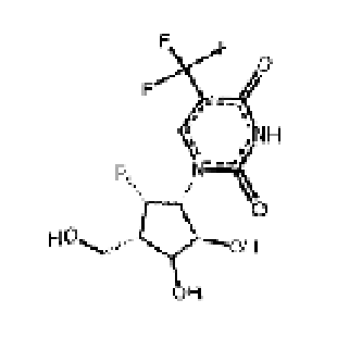 O=c1[nH]c(=O)n([C@@H]2C(O)C(O)[C@H](CO)[C@@H]2F)cc1C(F)(F)F